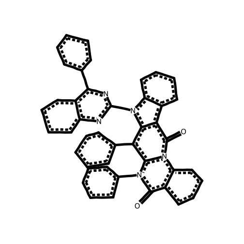 O=c1c2ccccc2n2c(=O)c3c4ccccc4n(-c4nc(-c5ccccc5)c5ccccc5n4)c3c(-c3ccccc3)c2n1-c1ccccc1